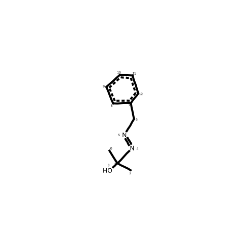 CC(C)(O)N=NCc1ccccc1